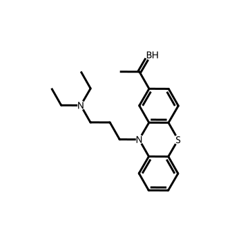 B=C(C)c1ccc2c(c1)N(CCCN(CC)CC)c1ccccc1S2